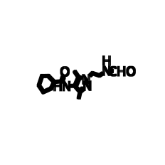 Cc1nn(CCNC=O)c(C)c1NC(=O)C1CCCCC1